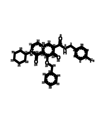 O=C(NCc1ccc(F)cc1)c1cn2ccn(C3CCCCC3)c(=O)c2c(OCc2ccccc2)c1=O